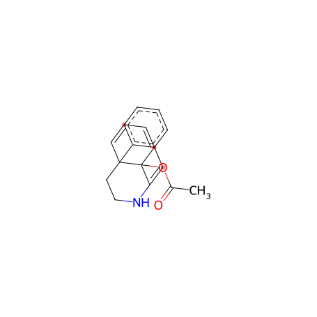 CC(=O)OC12C=CC=CC13CCNC2=Cc1ccccc13